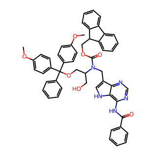 COc1ccc(C(OCC(CO)N(Cc2c[nH]c3c(NC(=O)c4ccccc4)ncnc23)C(=O)OCC2c3ccccc3-c3ccccc32)(c2ccccc2)c2ccc(OC)cc2)cc1